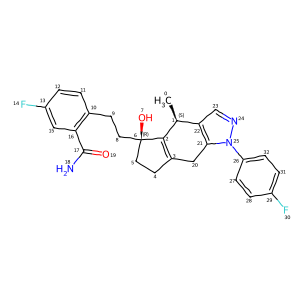 C[C@@H]1C2=C(CC[C@]2(O)CCc2ccc(F)cc2C(N)=O)Cc2c1cnn2-c1ccc(F)cc1